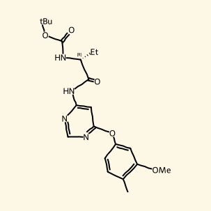 CC[C@@H](NC(=O)OC(C)(C)C)C(=O)Nc1cc(Oc2ccc(C)c(OC)c2)ncn1